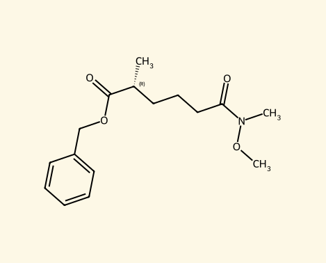 CON(C)C(=O)CCC[C@@H](C)C(=O)OCc1ccccc1